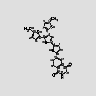 Cc1ccc(-c2cc(-c3ccc(-c4ccc5c(c4)C(=O)CNC5=O)s3)sc2-c2ccc(C)s2)s1